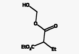 CCOC(=O)C(CC)C(=O)OCO